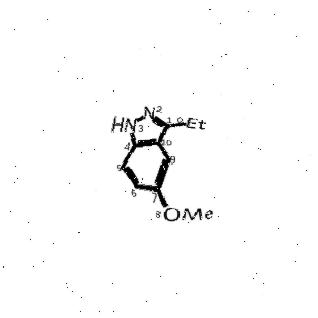 CCc1n[nH]c2ccc(OC)cc12